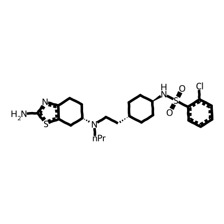 CCCN(CC[C@H]1CC[C@H](NS(=O)(=O)c2ccccc2Cl)CC1)[C@H]1CCc2nc(N)sc2C1